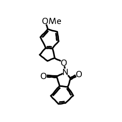 COc1ccc2c(c1)CCC2ON1C(=O)c2ccccc2C1=O